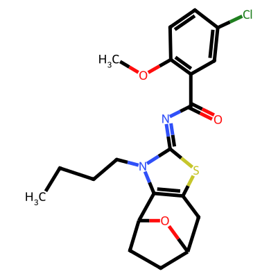 CCCCn1c2c(sc1=NC(=O)c1cc(Cl)ccc1OC)CC1CCC2O1